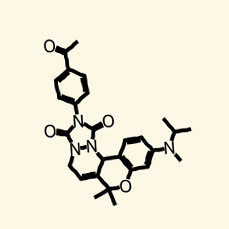 CC(=O)c1ccc(-n2c(=O)n3n(c2=O)C2C(=CC3)C(C)(C)Oc3cc(N(C)C(C)C)ccc32)cc1